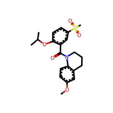 COc1ccc2c(c1)CCCN2C(=O)c1cc(S(C)(=O)=O)ccc1OC(C)C